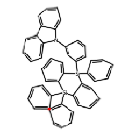 c1ccc([Si]2(c3ccccc3)c3ccccc3[Si](c3ccccc3)(c3cccc(-n4c5ccccc5c5ccccc54)c3)c3ccccc32)cc1